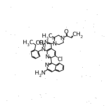 C=CC(=O)N1CCN(c2nc(=O)n(-c3ccccc3C(C)C)c3nc(-c4nc(N)cc5ccccc45)c(Cl)cc23)[C@@H](C)C1